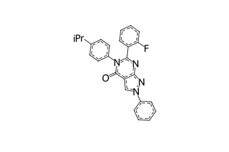 CC(C)c1ccc(-n2c(-c3ccccc3F)nc3nn(-c4ccccc4)cc3c2=O)cc1